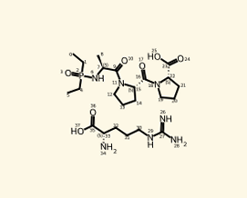 CCP(=O)(CC)N[C@@H](C)C(=O)N1CCC[C@H]1C(=O)N1CCC[C@H]1C(=O)O.N=C(N)NCCC[C@H](N)C(=O)O